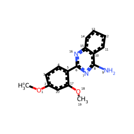 COc1ccc(-c2nc(N)c3ccccc3n2)c(OC)c1